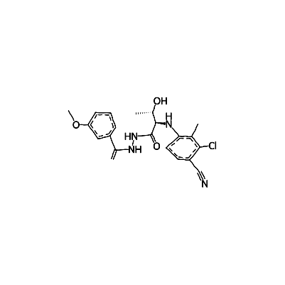 C=C(NNC(=O)[C@H](Nc1ccc(C#N)c(Cl)c1C)[C@H](C)O)c1cccc(OC)c1